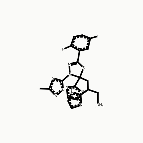 Cc1nnc(N2N=C(c3cc(F)ccc3F)SC2(CC(CN)c2ncc[nH]2)c2ncc[nH]2)s1